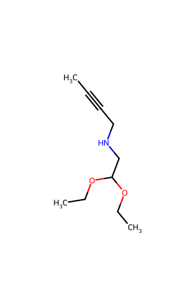 CC#CCNCC(OCC)OCC